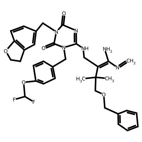 C=N/C(N)=C(/CNc1nc(=O)n(Cc2ccc3c(c2)CCO3)c(=O)n1Cc1ccc(OC(F)F)cc1)C(C)(C)COCc1ccccc1